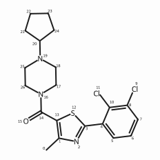 Cc1nc(-c2cccc(Cl)c2Cl)sc1C(=O)N1CCN(C2CCCC2)CC1